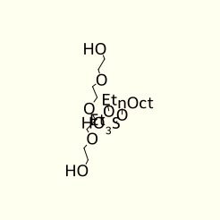 CCCCCCCCOS(=O)(=O)O.CCOCC.OCCOCCOCCOCCO